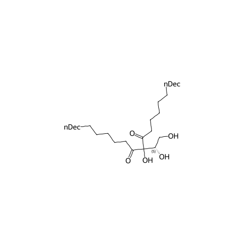 CCCCCCCCCCCCCCCC(=O)C(O)(C(=O)CCCCCCCCCCCCCCC)[C@@H](O)CO